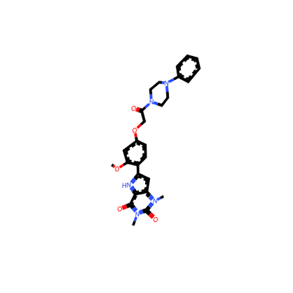 COc1cc(OCC(=O)N2CCN(c3ccccc3)CC2)ccc1-c1cc2c([nH]1)c(=O)n(C)c(=O)n2C